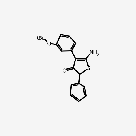 CC(C)(C)Oc1cccc(C2=C(N)SC(c3ccccc3)C2=O)c1